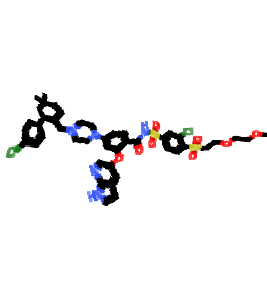 COCCOCCS(=O)(=O)c1ccc(S(=O)(=O)NC(=O)c2ccc(N3CCN(CC4=C(c5ccc(Cl)cc5)CC(C)(C)CC4)CC3)cc2Oc2cnc3[nH]ccc3c2)cc1Cl